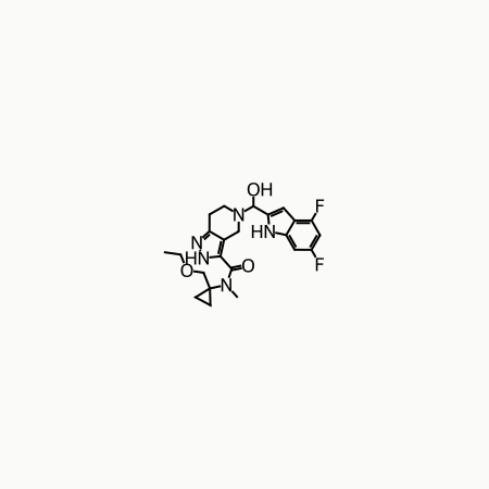 CCOCC1(N(C)C(=O)c2[nH]nc3c2CN(C(O)c2cc4c(F)cc(F)cc4[nH]2)CC3)CC1